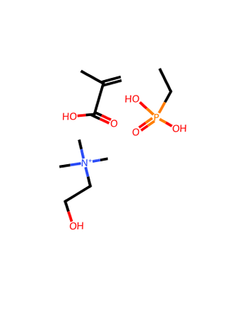 C=C(C)C(=O)O.CCP(=O)(O)O.C[N+](C)(C)CCO